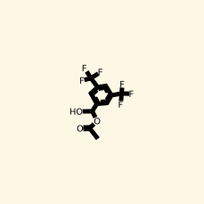 CC(=O)OC(O)c1cc(C(F)(F)F)cc(C(F)(F)F)c1